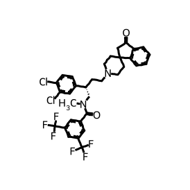 CN(C[C@@H](CCN1CCC2(CC1)CC(=O)c1ccccc12)c1ccc(Cl)c(Cl)c1)C(=O)c1cc(C(F)(F)F)cc(C(F)(F)F)c1